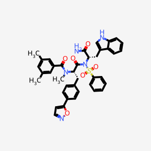 Cc1cc(C)cc(C(=O)N(C)[C@@H](Cc2ccc(-c3ccno3)cc2)C(=O)N([C@@H](Cc2c[nH]c3ccccc23)C(N)=O)S(=O)(=O)c2ccccc2)c1